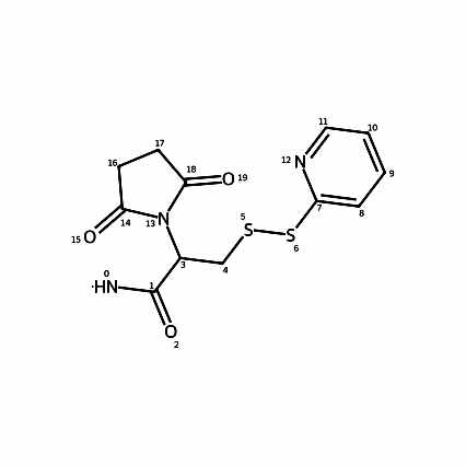 [NH]C(=O)C(CSSc1ccccn1)N1C(=O)CCC1=O